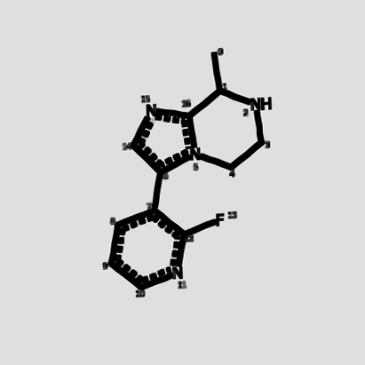 CC1NCCn2c(-c3cccnc3F)cnc21